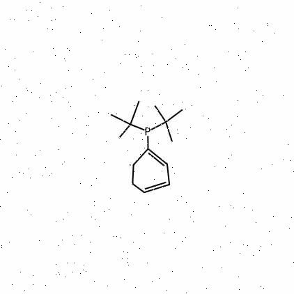 CC(C)(C)P(C1=CC=CC[CH]1)C(C)(C)C